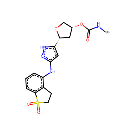 CC(C)NC(=O)O[C@H]1CO[C@@H](c2cc(Nc3cccc4c3CCS4(=O)=O)n[nH]2)C1